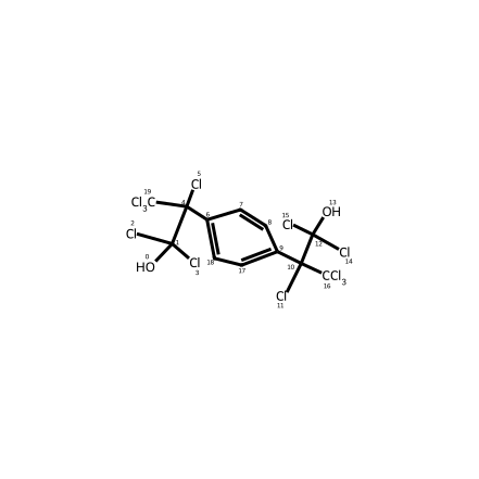 OC(Cl)(Cl)C(Cl)(c1ccc(C(Cl)(C(O)(Cl)Cl)C(Cl)(Cl)Cl)cc1)C(Cl)(Cl)Cl